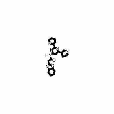 O=C(Cc1nc2ccccc2o1)Nc1cc(-c2cccnc2)nc(-c2ccccn2)n1